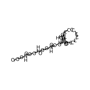 O=[C]COCCOCCNC(=O)COCCOCCNC(=O)COCCOCCNC(=O)COCCOCCNC(=O)C1C[C@@H](C(=O)O)NC(=O)CCCCCCCCCCCCCCCCCCC1=O